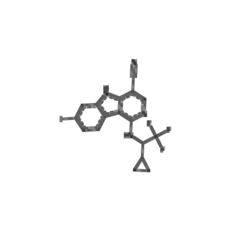 N#Cc1cnc(NC(C2CC2)C(F)(F)F)c2c1[nH]c1cc(I)ccc12